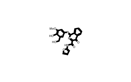 COc1cc(N=C2N=C(C(=O)Nc3ccco3)C(=O)c3ccccc32)cc(CO)c1O